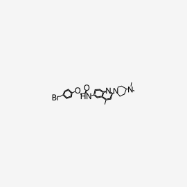 Cc1cc(N2CCC(N(C)C)CC2)nc2ccc(NC(=O)COc3ccc(Br)cc3)cc12